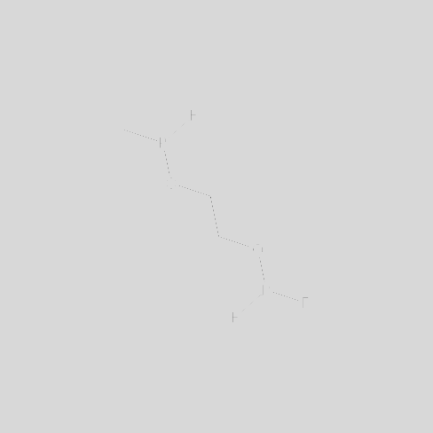 CP(F)OCCOP(F)F